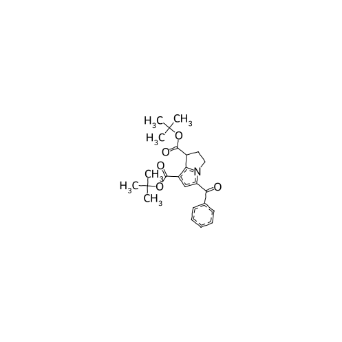 CC(C)(C)OC(=O)c1cc(C(=O)c2ccccc2)n2c1C(C(=O)OC(C)(C)C)CC2